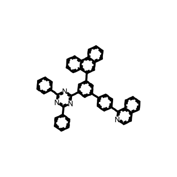 c1ccc(-c2nc(-c3ccccc3)nc(-c3cc(-c4ccc(-c5nccc6ccccc56)cc4)cc(-c4cc5ccccc5c5ccccc45)c3)n2)cc1